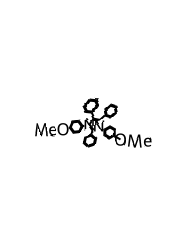 COc1ccc(N2[C](c3ccccc3)N(c3ccc(OC)cc3)C(c3ccccc3)=C2c2ccccc2)cc1